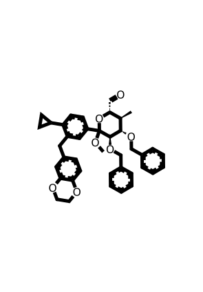 COC1(c2ccc(C3CC3)c(Cc3ccc4c(c3)OCCO4)c2)O[C@H](C=O)[C@@H](C)[C@H](OCc2ccccc2)[C@H]1OCc1ccccc1